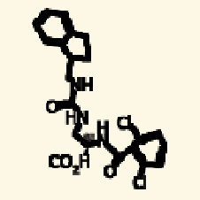 O=C(NCC1CCc2ccccc21)NC[C@H](NC(=O)c1c(Cl)cccc1Cl)C(=O)O